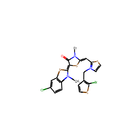 CCn1c(=O)/c(=C2\Sc3cc(Cl)ccc3N2C)s/c1=C\c1scc[n+]1Cc1ccsc1Br